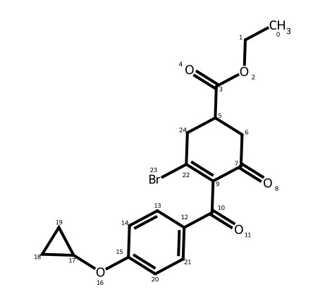 CCOC(=O)C1CC(=O)C(C(=O)c2ccc(OC3CC3)cc2)=C(Br)C1